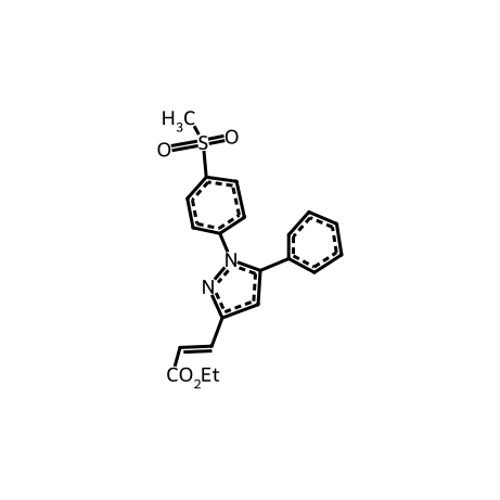 CCOC(=O)C=Cc1cc(-c2ccccc2)n(-c2ccc(S(C)(=O)=O)cc2)n1